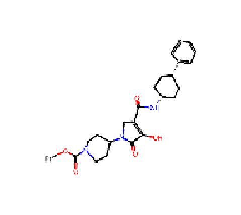 CC(C)OC(=O)N1CCC(N2CC(C(=O)N[C@H]3CC[C@@H](c4ccccc4)CC3)=C(O)C2=O)CC1